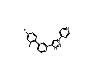 Cc1cc(F)ccc1-c1cccc(-c2cn(-c3ccncc3)nn2)c1